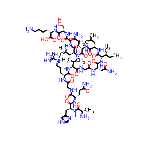 CC[C@H](C)[C@H](NC(=O)[C@H](CC(N)=O)NC(=O)CNC(=O)[C@@H](NC(=O)[C@H](CCCNC(=N)N)NC(=O)CNC(=O)[C@H](CCC(N)=O)NC(=O)[C@H](Cc1c[nH]cn1)NC(=O)[C@H](C)N)C(C)C)C(=O)N[C@@H](CC(C)C)C(=O)N[C@@H](CCC(N)=O)C(=O)N[C@@H](CC(C)C)C(=O)NCC(=O)N[C@@H](CO)C(=O)N[C@@H](CCCCN)C(=O)O